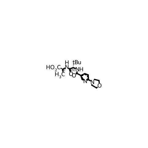 C[C@H](NC(=O)[C@@H](NC(=O)c1ccc(N2CCOCC2)nc1)C(C)(C)C)C(=O)O